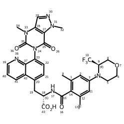 Cc1cc(N2CCOC[C@@H]2C(F)(F)F)cc(F)c1C(=O)N[C@@H](Cc1ccc(-n2c(=O)c3c(cnn3C)n(C)c2=O)c2ncccc12)C(=O)O